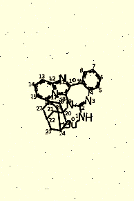 CCCCNC1=Nc2ccccc2-c2nc3ccccn3c2N1C12CC3CC(CC(C3)C1)C2